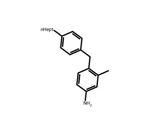 CCCCCCCc1ccc(Cc2ccc(N)cc2C)cc1